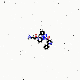 Cc1cccc2nc(NC(=O)c3ccnc(-c4ccccc4)c3)n([C@@H]3CCCCN(C(=O)C=CCN(C)C)C3)c12